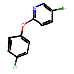 Clc1ccc(Oc2ccc(Br)cn2)cc1